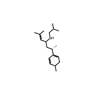 CC(C)=CC(C[C@H](C)C1=CCC(C)C=C1)NCC(C)C